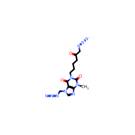 Cn1c(=O)n(CCCCC(=O)CN=[N+]=[N-])c(=O)c2c1ncn2CN=[N+]=[N-]